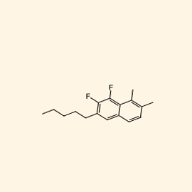 CCCCCc1cc2ccc(C)c(C)c2c(F)c1F